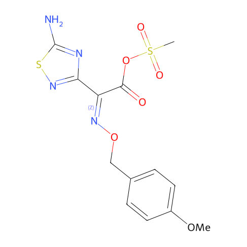 COc1ccc(CO/N=C(\C(=O)OS(C)(=O)=O)c2nsc(N)n2)cc1